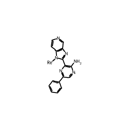 Nc1ncc(-c2ccccc2)nc1-c1nc2cnccc2[n]1[Re]